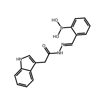 O=C(Cc1c[nH]c2ccccc12)N/N=C/c1ccccc1B(O)O